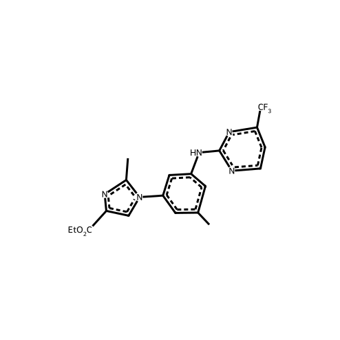 CCOC(=O)c1cn(-c2cc(C)cc(Nc3nccc(C(F)(F)F)n3)c2)c(C)n1